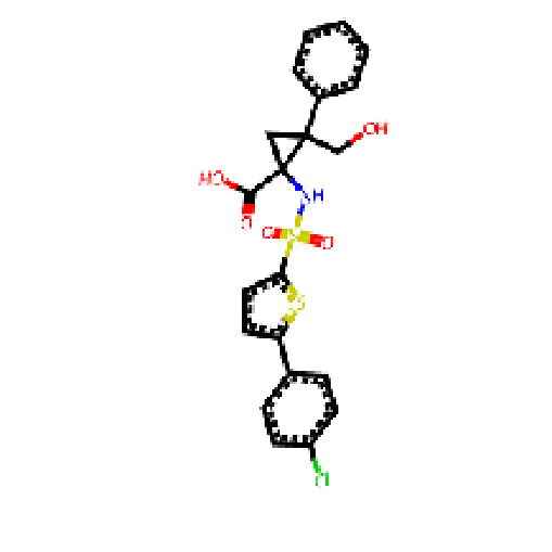 O=C(O)C1(NS(=O)(=O)c2ccc(-c3ccc(Cl)cc3)s2)CC1(CO)c1ccccc1